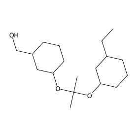 CCC1CCCC(OC(C)(C)OC2CCCC(CO)C2)C1